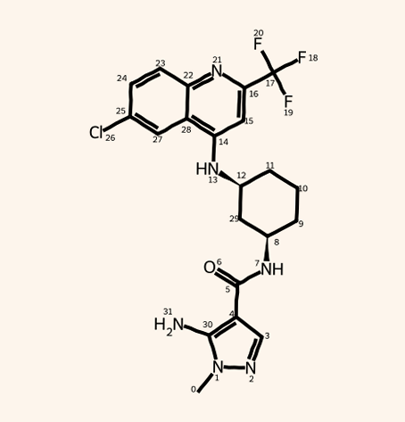 Cn1ncc(C(=O)N[C@@H]2CCC[C@H](Nc3cc(C(F)(F)F)nc4ccc(Cl)cc34)C2)c1N